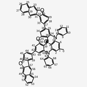 Cc1cc2c3c(c1)N(c1ccccc1)c1cc(-c4ccc5oc6cc7ccccc7cc6c5c4)cc4c1P3(=O)c1c(cc(-c3ccc5oc6cc7ccccc7cc6c5c3)cc1N2c1ccccc1)O4